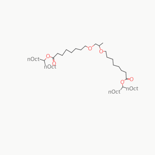 CCCCCCCCC(CCCCCCCC)OC(=O)CCCCCCCOCC(C)OCCCCCCCC(=O)OC(CCCCCCCC)CCCCCCCC